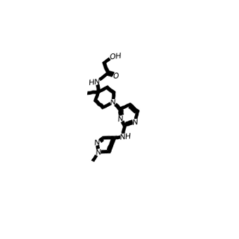 Cn1cc(Nc2nccc(N3CCC(C)(NC(=O)CO)CC3)n2)cn1